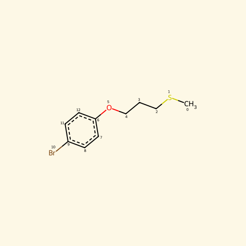 CSCCCOc1ccc(Br)cc1